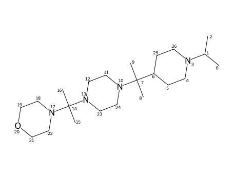 CC(C)N1CCC(C(C)(C)N2CCN(C(C)(C)N3CCOCC3)CC2)CC1